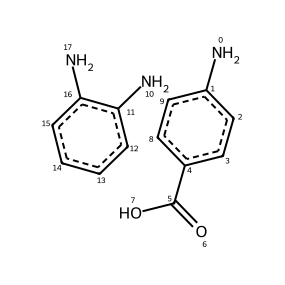 Nc1ccc(C(=O)O)cc1.Nc1ccccc1N